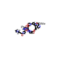 CCn1c(-c2cccnc2[C@H](C)OC)c2c3cc(ccc31)N1CCO[C@@](C)(C[C@H](NC(=O)C(C(C)C)N(C)C(=O)[C@H]3CCN(C(=O)C#CC(C)(C)N4CCC4)C3)C(=O)N3CCC[C@H](N3)C(=O)OCC(C)(C)C2)C1